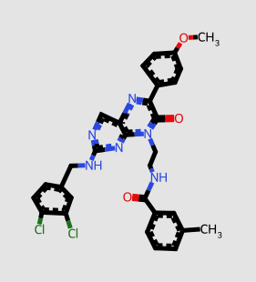 COc1ccc(-c2nc3cnc(NCc4ccc(Cl)c(Cl)c4)nc3n(CCNC(=O)c3cccc(C)c3)c2=O)cc1